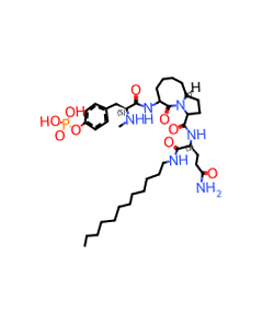 CCCCCCCCCCCCNC(=O)[C@H](CCC(N)=O)NC(=O)C1CC[C@@H]2CCCCC(NC(=O)[C@H](Cc3ccc(OP(=O)(O)O)cc3)NC)C(=O)N12